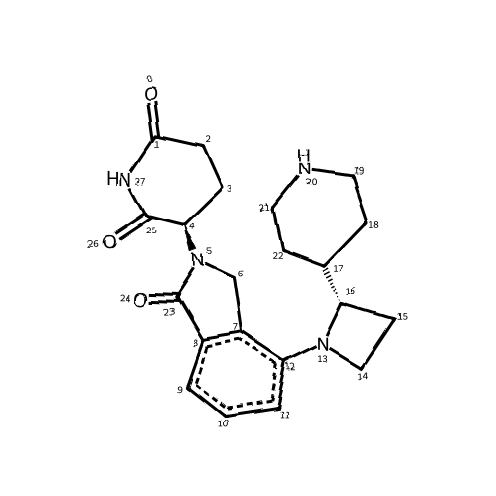 O=C1CC[C@@H](N2Cc3c(cccc3N3CC[C@H]3C3CCNCC3)C2=O)C(=O)N1